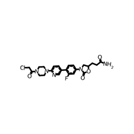 NC(=O)CCC1CN(c2ccc(-c3ccc(N4CCN(C(=O)CCl)CC4)nc3)c(F)c2)C(=O)O1